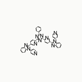 c1ccc(-c2nc(-c3ccc(-c4nc5ccccc5n4-c4ccncc4)cn3)nc(-c3ccc(-c4nc5ccccc5n4-c4ccncc4)cn3)n2)cc1